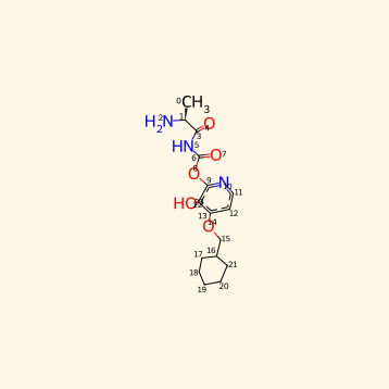 C[C@H](N)C(=O)NC(=O)Oc1nccc(OCC2CCCCC2)c1O